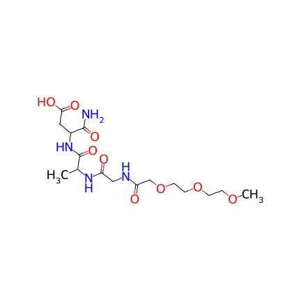 COCCOCCOCC(=O)NCC(=O)NC(C)C(=O)NC(CC(=O)O)C(N)=O